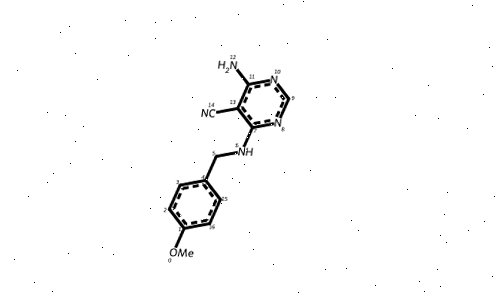 COc1ccc(CNc2ncnc(N)c2C#N)cc1